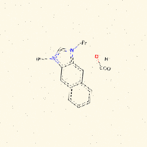 CC(C)n1c[n+](C(C)C)c2cc3ccccc3cc21.O=C([O-])[O-].[H+]